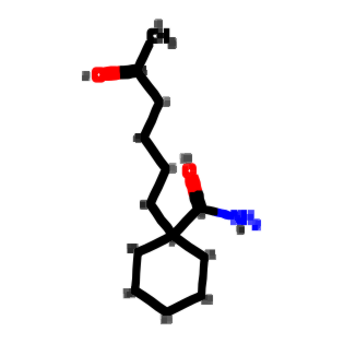 CC(=O)CCCCC1(C(N)=O)CCCCC1